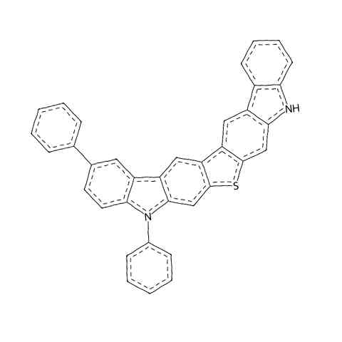 c1ccc(-c2ccc3c(c2)c2cc4c(cc2n3-c2ccccc2)sc2cc3[nH]c5ccccc5c3cc24)cc1